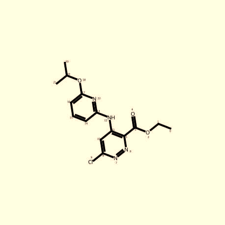 CCOC(=O)c1nnc(Cl)cc1Nc1cccc(OC(C)C)n1